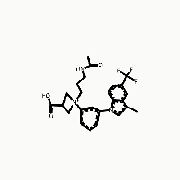 CC(=O)NCCC[N+]1(c2cccc(-n3cc(C)c4cc(C(F)(F)F)ccc43)c2)CC(C(=O)O)C1